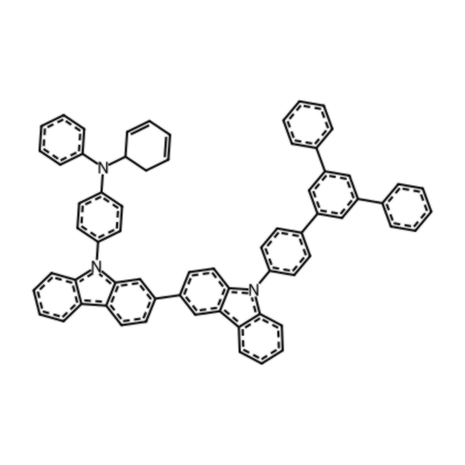 C1=CCC(N(c2ccccc2)c2ccc(-n3c4ccccc4c4ccc(-c5ccc6c(c5)c5ccccc5n6-c5ccc(-c6cc(-c7ccccc7)cc(-c7ccccc7)c6)cc5)cc43)cc2)C=C1